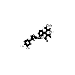 COC(=O)C1=C(C)NC(C)=C(C(=O)OC)C1c1cccc(Nc2nc(-c3ccc(O)c(O)c3)cs2)c1